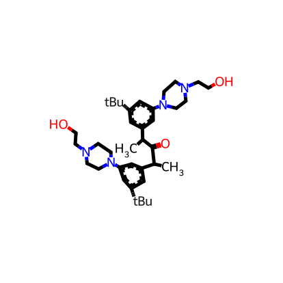 CC(C(=O)C(C)c1cc(N2CCN(CCO)CC2)cc(C(C)(C)C)c1)c1cc(N2CCN(CCO)CC2)cc(C(C)(C)C)c1